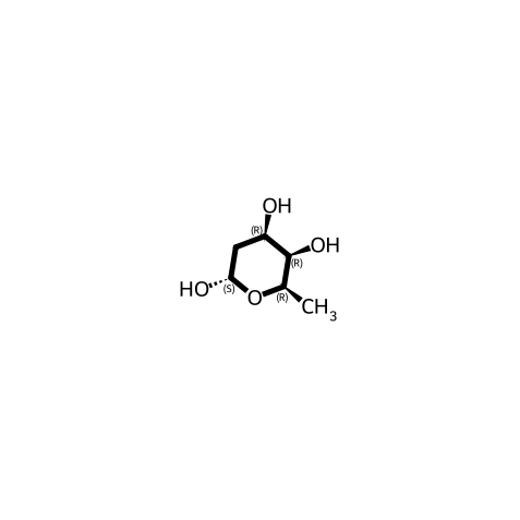 C[C@H]1O[C@H](O)C[C@@H](O)[C@H]1O